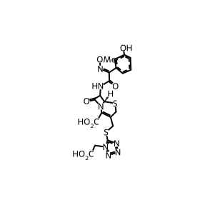 CON=C(C(=O)NC1C(=O)N2C(C(=O)O)=C(CSc3nnnn3CC(=O)O)CS[C@@H]12)c1cccc(O)c1